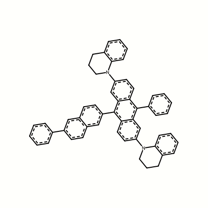 c1ccc(-c2ccc3cc(-c4c5ccc(N6CCCc7ccccc76)cc5c(-c5ccccc5)c5ccc(N6CCCc7ccccc76)cc45)ccc3c2)cc1